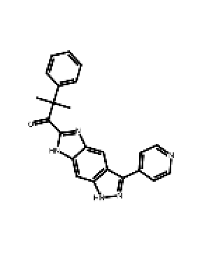 CC(C)(C(=O)c1nc2cc3c(-c4ccncc4)n[nH]c3cc2[nH]1)c1ccccc1